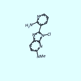 CNc1ccc2nc(-c3cccnc3N)n(Cl)c2n1